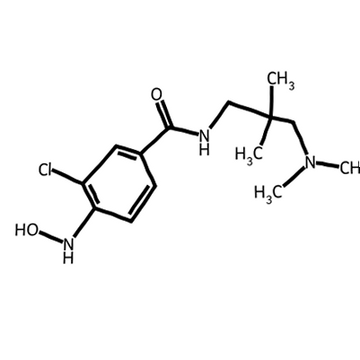 CN(C)CC(C)(C)CNC(=O)c1ccc(NO)c(Cl)c1